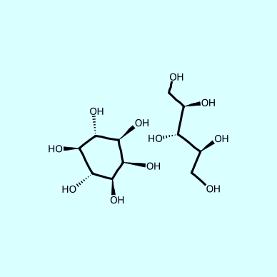 OC[C@@H](O)[C@@H](O)[C@@H](O)CO.O[C@H]1[C@H](O)[C@@H](O)[C@H](O)[C@@H](O)[C@H]1O